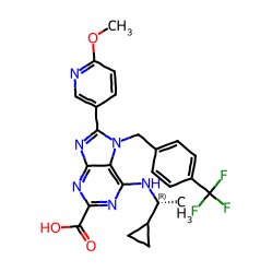 COc1ccc(-c2nc3nc(C(=O)O)nc(N[C@H](C)C4CC4)c3n2Cc2ccc(C(F)(F)F)cc2)cn1